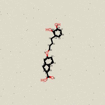 O=C(O)c1ccc2cc(OCCCCc3cccc(O)c3O)ccc2c1